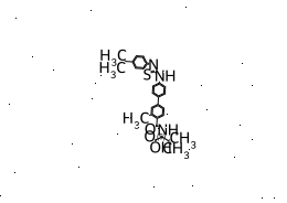 Cc1cc(-c2ccc(Nc3nc4ccc(C(C)C)cc4s3)cc2)ccc1C(=O)N[C@H](C(=O)O)C(C)C